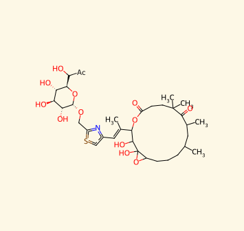 CC(=O)C(O)[C@H]1O[C@H](OCc2nc(C=C(C)C3OC(=O)CCC(C)(C)C(=O)C(C)CC(C)CCCC4OC4(O)C3O)cs2)[C@H](O)[C@@H](O)[C@@H]1O